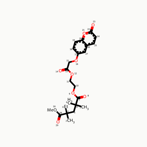 CCC(C)(CC(C)(C)C(=O)OCCOC(=O)COc1ccc2oc(=O)ccc2c1)C(=O)OC